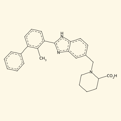 Cc1c(-c2ccccc2)cccc1-c1nc2cc(CN3CCCCC3C(=O)O)ccc2[nH]1